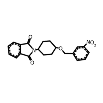 O=C1c2ccccc2C(=O)N1C1CCC(OCc2cccc([N+](=O)[O-])c2)CC1